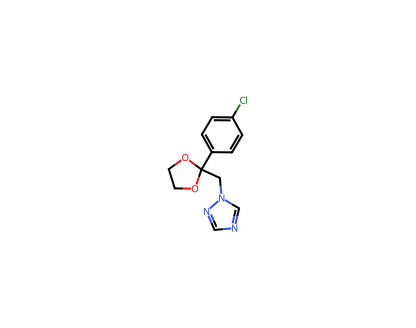 Clc1ccc(C2(Cn3cncn3)OCCO2)cc1